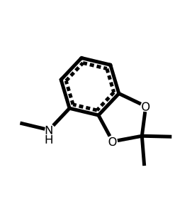 CNc1cccc2c1OC(C)(C)O2